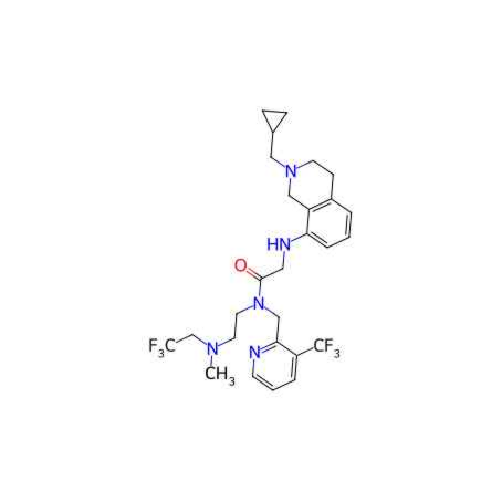 CN(CCN(Cc1ncccc1C(F)(F)F)C(=O)CNc1cccc2c1CN(CC1CC1)CC2)CC(F)(F)F